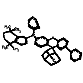 CC1(C)CCC(C)(C)c2cc(N(c3ccccc3)c3ccc4c(c3)Sc3ccc(-c5ccccc5)cc3C43C4CC5CC6CC3C64C5)ccc21